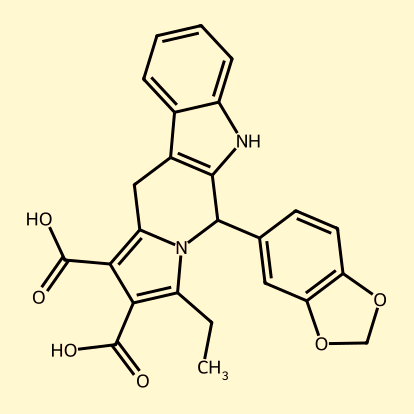 CCc1c(C(=O)O)c(C(=O)O)c2n1C(c1ccc3c(c1)OCO3)c1[nH]c3ccccc3c1C2